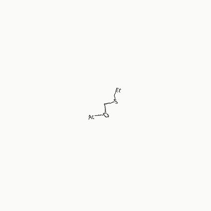 CCSCOC(C)=O